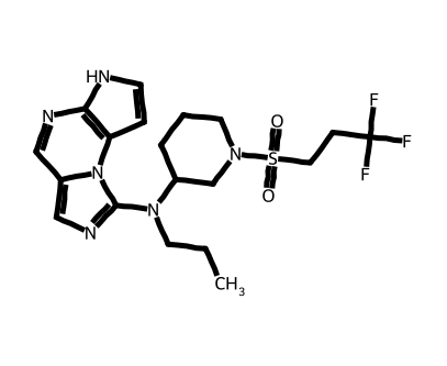 CCCN(c1ncc2cnc3[nH]ccc3n12)C1CCCN(S(=O)(=O)CCC(F)(F)F)C1